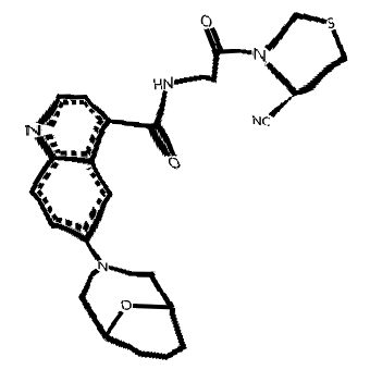 N#C[C@@H]1CSCN1C(=O)CNC(=O)c1ccnc2ccc(N3CC4CCC(C3)O4)cc12